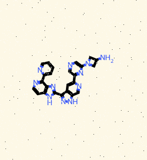 NC1CN(c2cncc(-c3cc4c(-c5nc6c(-c7ccccn7)nccc6[nH]5)n[nH]c4cn3)n2)C1